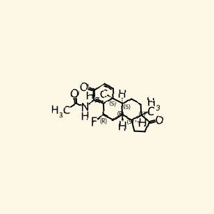 CC(=O)NC1=C2[C@H](F)C[C@@H]3[C@H](CC[C@]4(C)C(=O)CC[C@@H]34)[C@@]2(C)C=CC1=O